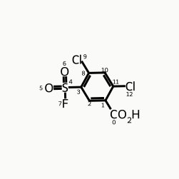 O=C(O)c1cc(S(=O)(=O)F)c(Cl)cc1Cl